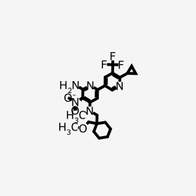 COCC1(CN(C)c2cc(-c3cnc(C4CC4)c(C(F)(F)F)c3)nc(N)c2[N+](=O)[O-])CCCCC1